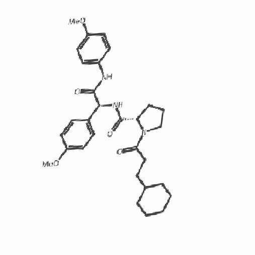 COc1ccc(NC(=O)[C@@H](NC(=O)[C@@H]2CCCN2C(=O)CCC2CCCCC2)c2ccc(OC)cc2)cc1